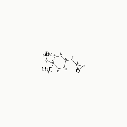 CCC(C)CC1(C)CCC(CC2CO2)CC1